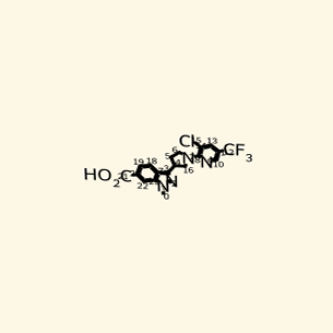 Cn1nc(C2CCN(c3ncc(C(F)(F)F)cc3Cl)C2)c2ccc(C(=O)O)cc21